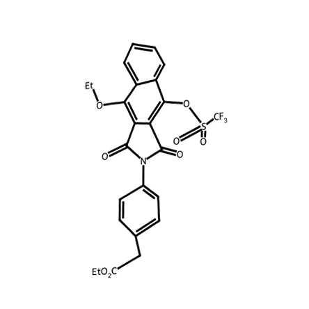 CCOC(=O)Cc1ccc(N2C(=O)c3c(c(OS(=O)(=O)C(F)(F)F)c4ccccc4c3OCC)C2=O)cc1